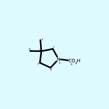 CC1(C)CCN(C(=O)O)C1